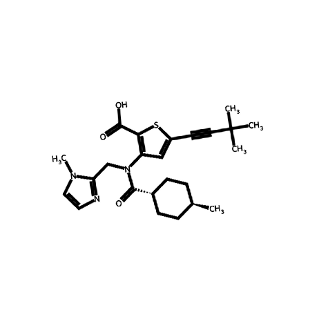 Cn1ccnc1CN(c1cc(C#CC(C)(C)C)sc1C(=O)O)C(=O)[C@H]1CC[C@H](C)CC1